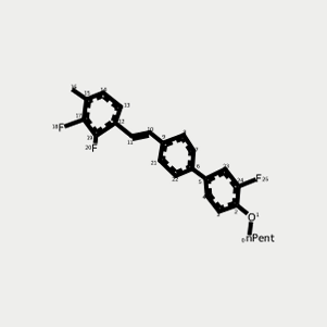 CCCCCOc1ccc(-c2ccc(/C=C/c3ccc(C)c(F)c3F)cc2)cc1F